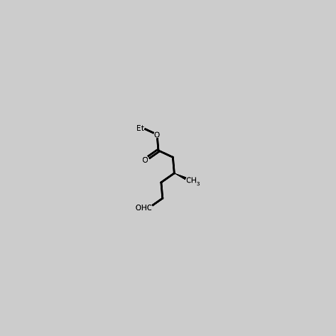 CCOC(=O)C[C@@H](C)CCC=O